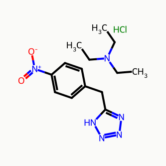 CCN(CC)CC.Cl.O=[N+]([O-])c1ccc(Cc2nnn[nH]2)cc1